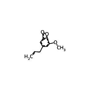 C=CCc1cc(OC)c2ooc2c1